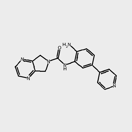 Nc1ccc(-c2ccncc2)cc1NC(=O)N1Cc2nccnc2C1